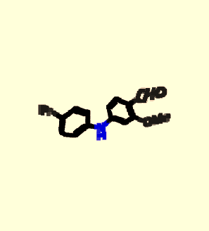 COc1cc(Nc2ccc(C(C)C)cc2)ccc1C=O